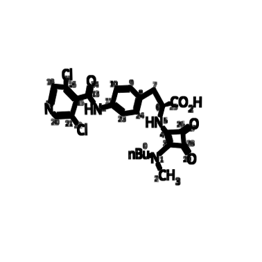 CCCCN(C)c1c(N[C@@H](Cc2ccc(NC(=O)c3c(Cl)cncc3Cl)cc2)C(=O)O)c(=O)c1=O